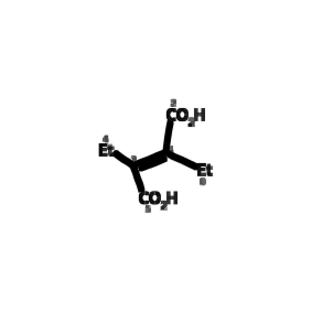 CC/C(C(=O)O)=C(/CC)C(=O)O